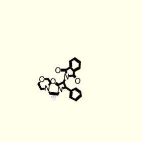 O=C1C(N2C(=O)c3ccccc3C2=O)C(c2ccccc2)N1/C=C\N1CCOCC1